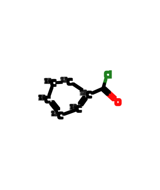 O=C(Cl)[13C]1=[13CH][13CH]=[13CH][13CH2][13CH2]1